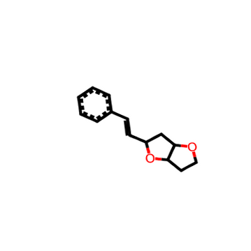 C(=CC1CC2OCCC2O1)c1ccccc1